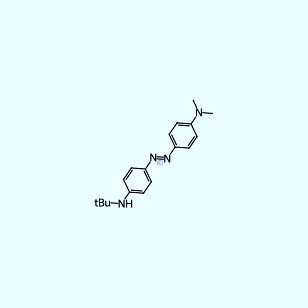 CN(C)c1ccc(/N=N/c2ccc(NC(C)(C)C)cc2)cc1